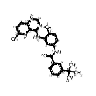 Cc1ccc(NC(=O)c2cccc(C(C)(C)C#N)c2)cc1Nc1ncnc2ccc(Cl)nc12